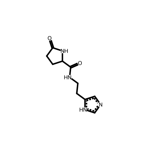 O=C1CCC(C(=O)NCCc2cnc[nH]2)N1